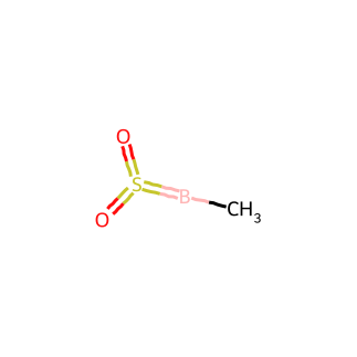 CB=S(=O)=O